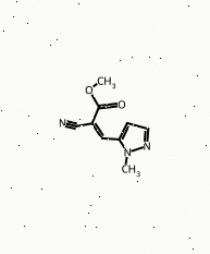 COC(=O)C(C#N)=Cc1ccnn1C